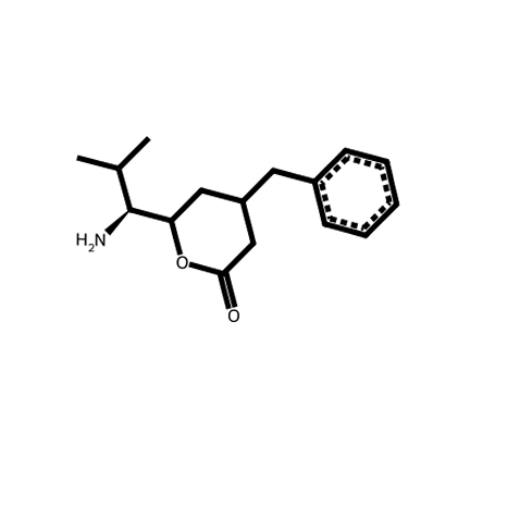 CC(C)[C@H](N)C1CC(Cc2ccccc2)CC(=O)O1